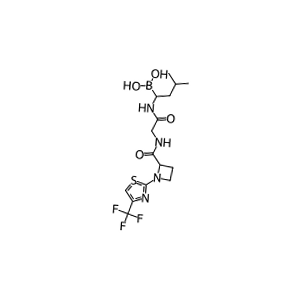 CC(C)CC(NC(=O)CNC(=O)C1CCN1c1nc(C(F)(F)F)cs1)B(O)O